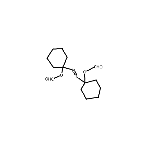 O=COC1(N=NC2(OC=O)CCCCC2)CCCCC1